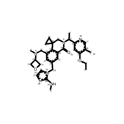 CCOc1cc(C(C)N2CC3(CC3)c3c(CN(C)C4COC4)cc(Cn4ccnc4NC)cc3C2=O)ncc1F